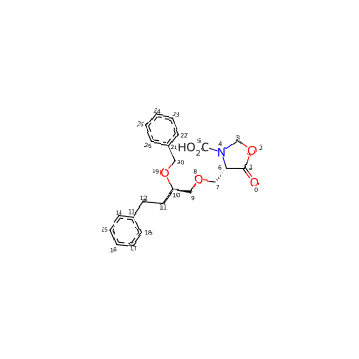 O=C1OCN(C(=O)O)[C@H]1COC[C@@H](CCc1ccccc1)OCc1ccccc1